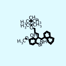 COc1ccc(Br)c(C(CCCO[Si](C)(C)C(C)(C)C)C(=N)c2cccc3ccccc23)c1O